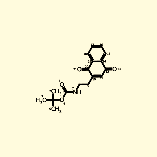 CC(C)(C)OC(=O)NCCC1=CC(=O)c2ccccc2C1=O